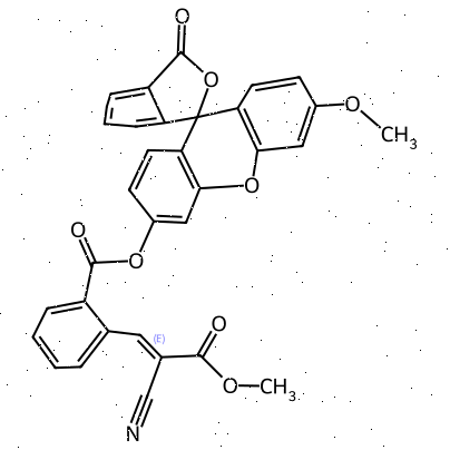 COC(=O)/C(C#N)=C/c1ccccc1C(=O)Oc1ccc2c(c1)Oc1cc(OC)ccc1C21OC(=O)c2ccccc21